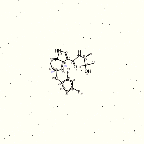 C=C1NC=C(C(=O)N[C@@H](C)C(C)(C)O)/C1=N/C(=C\C)Oc1ccc(F)cc1F